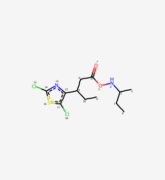 CCC(C)NOC(=O)CC(CC)c1nc(Cl)sc1Cl